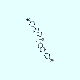 CSC(SC)(c1ccc2oc(-c3ccc(O)cc3)nc2c1)c1ccc2oc(-c3ccc(O)cc3)nc2c1